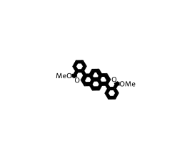 COC(=O)C1CCCCC1c1ccc2ccc3c(C4CCCCC4C(=O)OC)ccc4ccc1c2c43